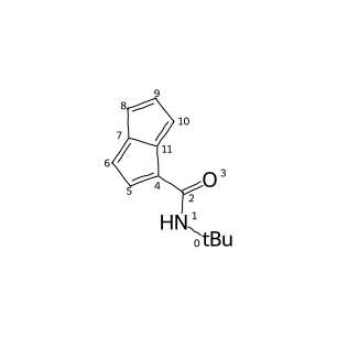 CC(C)(C)NC(=O)C1=CC=C2C=CC=C21